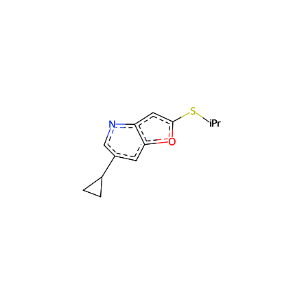 CC(C)Sc1cc2ncc(C3CC3)cc2o1